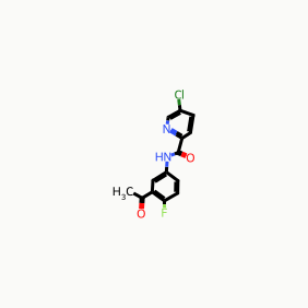 CC(=O)c1cc(NC(=O)c2ccc(Cl)cn2)ccc1F